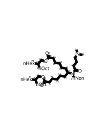 CCCCCCCCCN(C(=O)CCCN(C)C)C(CCCCCC(=O)OCC(CCCCCC)CCCCCCCC)CCCCCC(=O)OCC(CCCCCC)CCCCCCCC